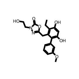 CCc1c(O)cc(O)c(-c2cccc(OC)c2)c1Cc1nn(CCO)c(=O)o1